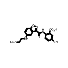 COCCNc1ccc2onc(C(=O)Nc3ccc(C#N)cc3C(=O)O)c2c1